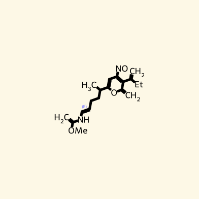 C=C(N/C=C/CCC(C)C1=CC(N=O)=C(C(=C)CC)C(=C)O1)OC